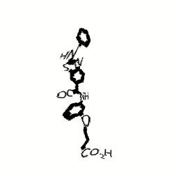 O=C=C(Nc1cccc(OCCCC(=O)O)c1)c1ccc2nc(Nc3ccccc3)sc2c1